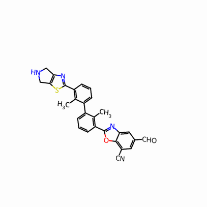 Cc1c(-c2nc3cc(C=O)cc(C#N)c3o2)cccc1-c1cccc(-c2nc3c(s2)CNC3)c1C